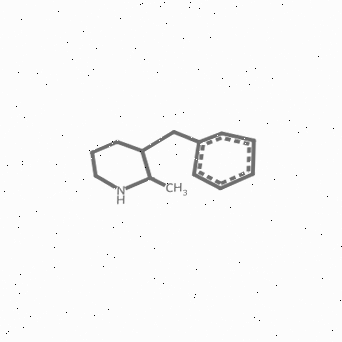 C[C]1NCCCC1Cc1ccccc1